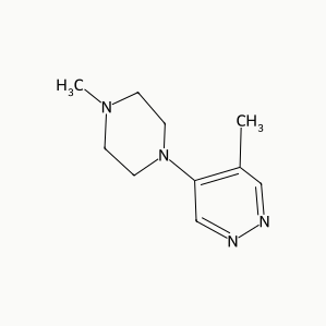 Cc1cnncc1N1CCN(C)CC1